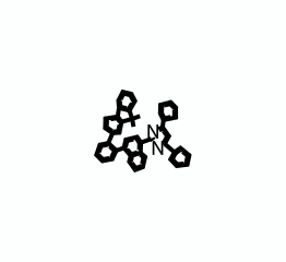 CC1(C)c2ccccc2-c2ccc(-c3ccccc3-c3ccc(-c4nc(-c5ccccc5)cc(-c5ccccc5)n4)c4ccccc34)cc21